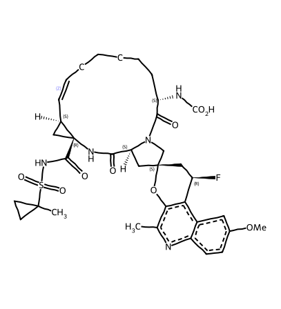 COc1ccc2nc(C)c3c(c2c1)[C@H](F)C[C@]1(C[C@H]2C(=O)N[C@]4(C(=O)NS(=O)(=O)C5(C)CC5)C[C@H]4/C=C\CCCCC[C@H](NC(=O)O)C(=O)N2C1)O3